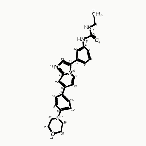 CCNC(=O)Nc1cccc(-c2cnc3cc(-c4ccc(N5CCOCC5)cc4)ccn23)c1